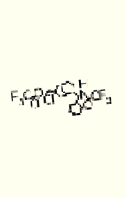 O=C(N[C@H](c1ccccc1)[C@H]1CCC2CC1C[C@@](Cl)(CCOC(=O)C(F)(F)F)C2)C(F)(F)F